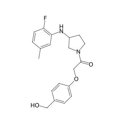 Cc1ccc(F)c(NC2CCN(C(=O)COc3ccc(CO)cc3)C2)c1